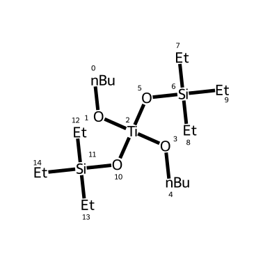 CCCC[O][Ti]([O]CCCC)([O][Si](CC)(CC)CC)[O][Si](CC)(CC)CC